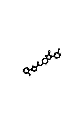 O=C1O[C@]2(CC[C@H](CNc3ccn(-c4ccccc4F)n3)CC2)CN1c1ccnc(F)c1